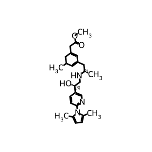 COC(=O)CC1=CC(C[C@@H](C)NC[C@H](O)c2ccc(-n3c(C)ccc3C)nc2)=CC(C)C1